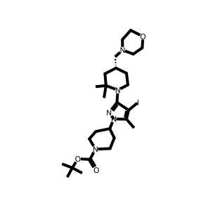 Cc1c(I)c(N2CC[C@@H](CN3CCOCC3)CC2(C)C)nn1C1CCN(C(=O)OC(C)(C)C)CC1